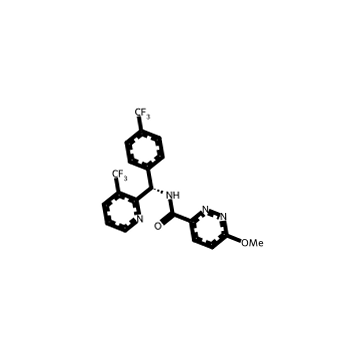 COc1ccc(C(=O)N[C@@H](c2ccc(C(F)(F)F)cc2)c2ncccc2C(F)(F)F)nn1